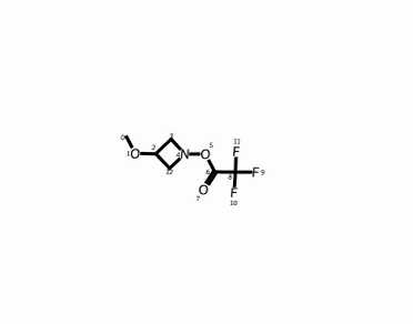 COC1CN(OC(=O)C(F)(F)F)C1